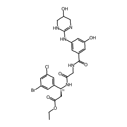 CCOC(=O)C[C@H](NC(=O)CNC(=O)c1cc(O)cc(NC2=NCC(O)CN2)c1)c1cc(Cl)cc(Br)c1